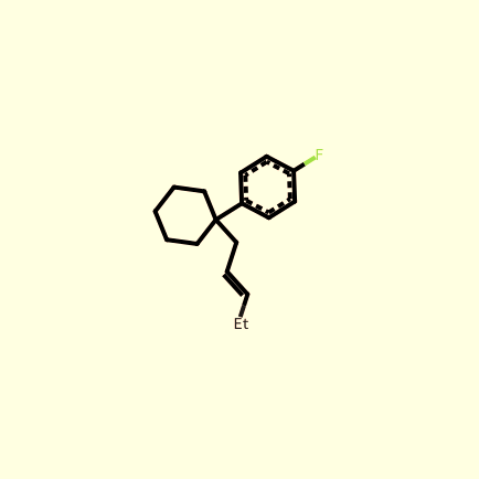 CC/C=C/CC1(c2ccc(F)cc2)CCCCC1